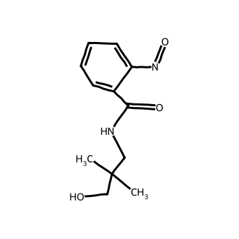 CC(C)(CO)CNC(=O)c1ccccc1N=O